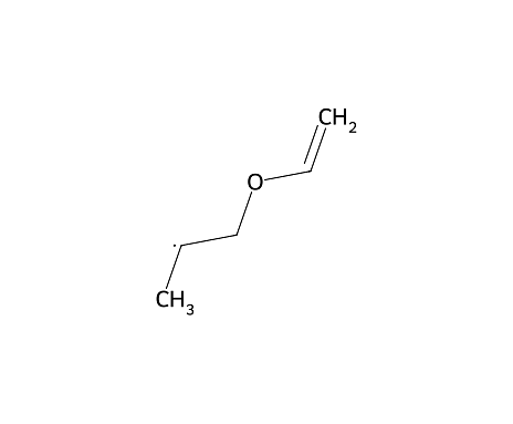 C=COC[CH]C